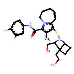 Cc1c(SN2C(CO)C3(CCO)CCC23)c2n(c1C(=O)Nc1ccc(F)c(F)c1)CCCC=C2